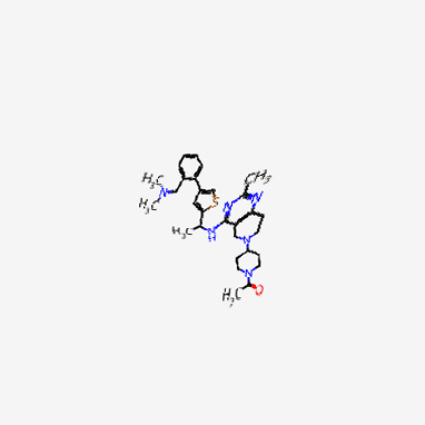 CC(=O)N1CCC(N2CCc3nc(C)nc(NC(C)c4cc(-c5ccccc5CN(C)C)cs4)c3C2)CC1